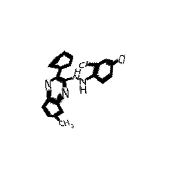 Cc1ccc2nc(-c3ccccc3)c(NNc3ccc(Cl)cc3Cl)nc2c1